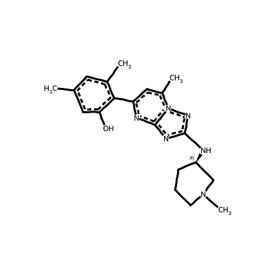 Cc1cc(C)c(-c2cc(C)n3nc(N[C@@H]4CCCN(C)C4)nc3n2)c(O)c1